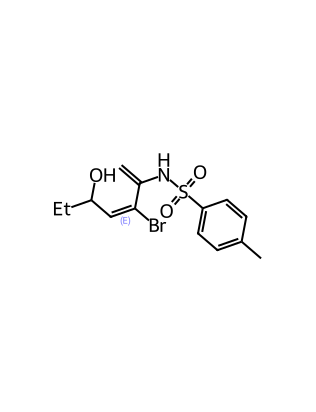 C=C(NS(=O)(=O)c1ccc(C)cc1)/C(Br)=C\C(O)CC